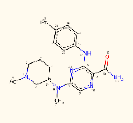 CC(=O)N1CCC[C@H](N(C)c2cnc(C(N)=O)c(Nc3ccc(C(C)C)cc3)n2)C1